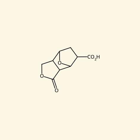 O=C(O)C1CC2OC1C1C(=O)OCC21